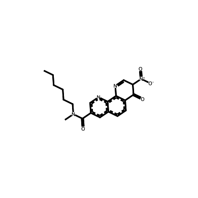 CCCCCCN(C)C(=O)c1cnc2c3c(ccc2c1)C(=O)C([N+](=O)[O-])C=N3